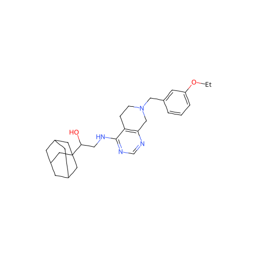 CCOc1cccc(CN2CCc3c(ncnc3NCC(O)C34CC5CC(CC(C5)C3)C4)C2)c1